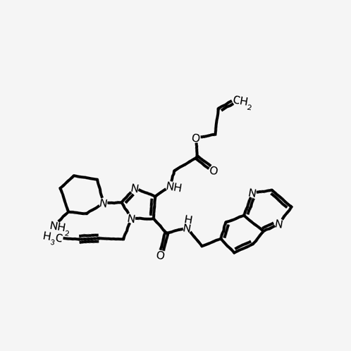 C=CCOC(=O)CNc1nc(N2CCCC(N)C2)n(CC#CC)c1C(=O)NCc1ccc2nccnc2c1